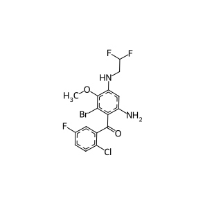 COc1c(NCC(F)F)cc(N)c(C(=O)c2cc(F)ccc2Cl)c1Br